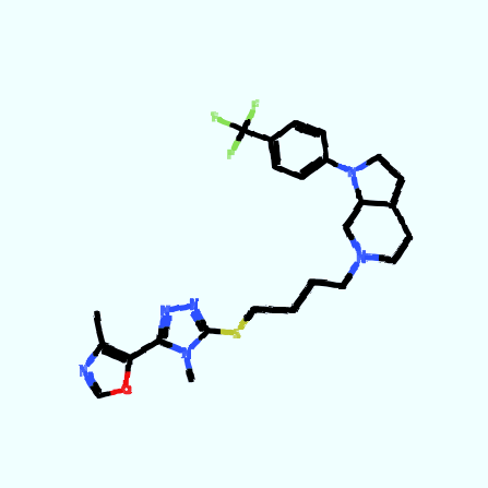 Cc1ncoc1-c1nnc(SCCCCN2CCC3CCN(c4ccc(C(F)(F)F)cc4)C3C2)n1C